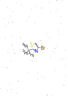 [2H]C([2H])([2H])c1nc(Br)cs1